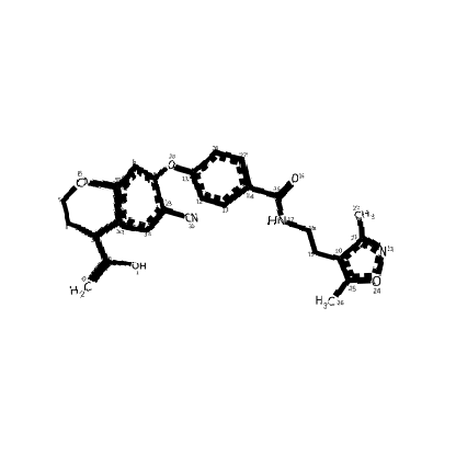 C=C(O)C1CCOc2cc(Oc3ccc(C(=O)NCCc4c(C)noc4C)cc3)c(C#N)cc21